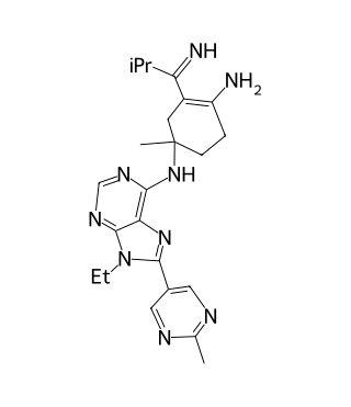 CCn1c(-c2cnc(C)nc2)nc2c(NC3(C)CCC(N)=C(C(=N)C(C)C)C3)ncnc21